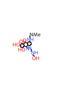 CNCCNc1ccc2c3c(nn2CCNCCO)-c2c(O)cc(O)c(O)c2C(=O)c13